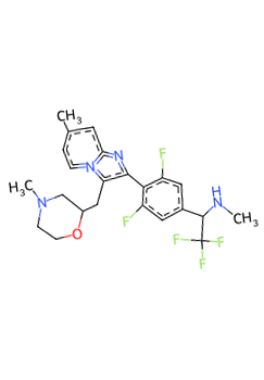 CNC(c1cc(F)c(-c2nc3cc(C)ccn3c2CC2CN(C)CCO2)c(F)c1)C(F)(F)F